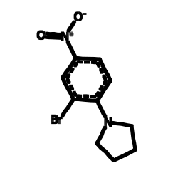 O=[N+]([O-])c1ccc(N2CCCC2)c(Br)c1